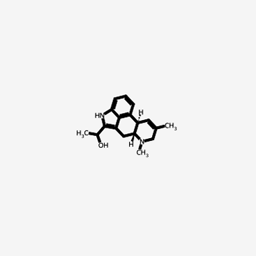 CC1=C[C@@H]2c3cccc4[nH]c(C(C)O)c(c34)C[C@H]2N(C)C1